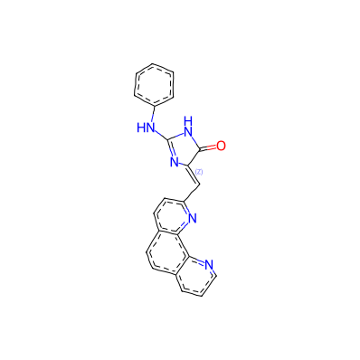 O=C1NC(Nc2ccccc2)=N/C1=C\c1ccc2ccc3cccnc3c2n1